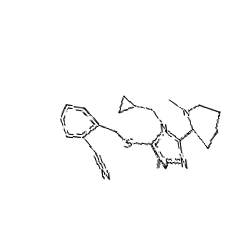 CN1CCCCC1c1nnc(SCc2ccccc2C#N)n1CC1CC1